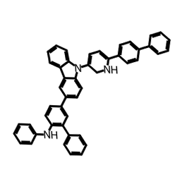 C1=C(c2ccc(-c3ccccc3)cc2)NCC(n2c3ccccc3c3cc(-c4ccc(Nc5ccccc5)c(-c5ccccc5)c4)ccc32)=C1